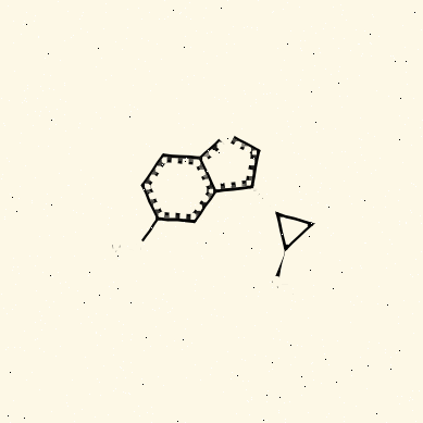 COc1ccc2occ([C@@H]3C[C@H]3N)c2c1